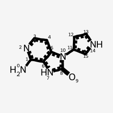 Nc1nccc2c1[nH]c(=O)n2-c1cc[nH]c1